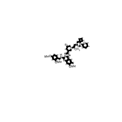 C=NN(/C=C(\C)N1CC(F)CC(c2nc3c4cc(F)c(OC)cc4nc(NCc4ccc(OC)cc4OC)n3n2)C1)CC1(OC2CCCCO2)CCC1